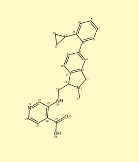 CN1Cc2cc(-c3ccccc3C3CC3)ccc2C1CNc1cnccc1C(=O)O